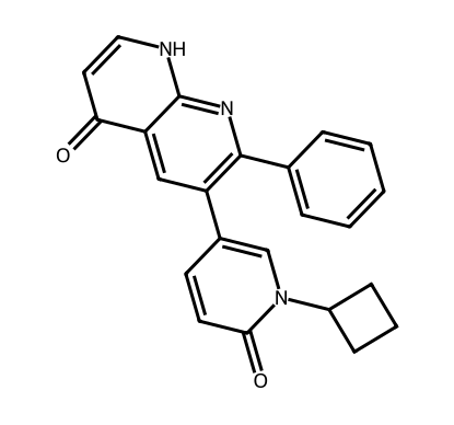 O=c1cc[nH]c2nc(-c3ccccc3)c(-c3ccc(=O)n(C4CCC4)c3)cc12